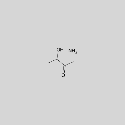 CC(=O)C(C)O.N